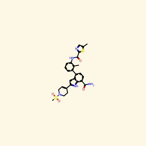 Cc1cnc(C(=O)Nc2cccc(-c3ccc(C(N)=O)c4[nH]c(C5=CCN(S(C)(=O)=O)CC5)cc34)c2C)s1